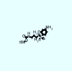 Cc1cc(N)ccc1S(C)(=O)=NCCCNC(=O)OC(C)(C)C